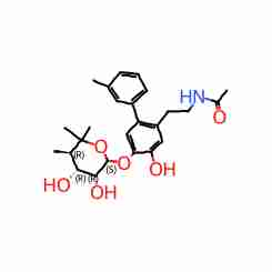 CC(=O)NCCc1cc(O)c(O[C@@H]2OC(C)(C)[C@H](C)[C@@H](O)[C@H]2O)cc1-c1cccc(C)c1